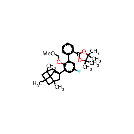 COCOc1c(-c2ccccc2B2OC(C)(C)C(C)(C)O2)cc(F)cc1C12CC3(C)CC4(C)CC(C)(C1)C34C2